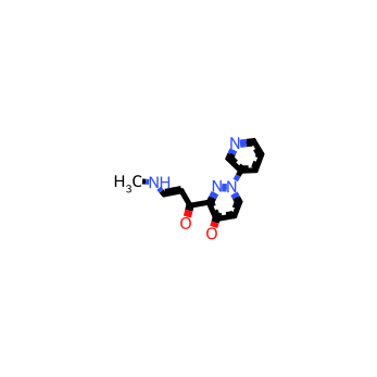 CNC=CC(=O)c1nn(-c2cccnc2)ccc1=O